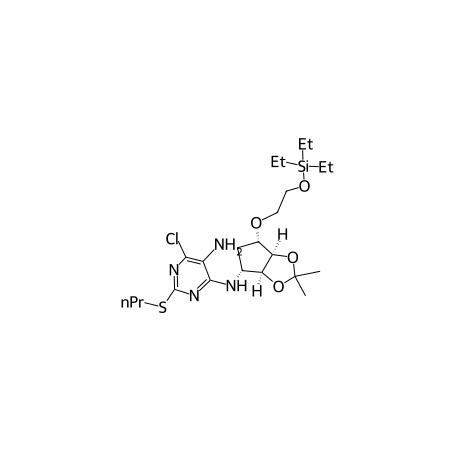 CCCSc1nc(Cl)c(N)c(N[C@@H]2C[C@H](OCCO[Si](CC)(CC)CC)[C@H]3OC(C)(C)O[C@H]32)n1